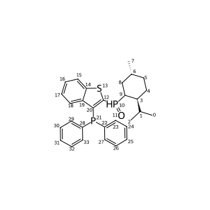 CC(C)[C@@H]1CC[C@@H](C)CC1[PH](=O)c1sc2ccccc2c1P(c1ccccc1)c1ccccc1